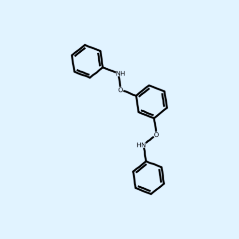 c1ccc(NOc2cccc(ONc3ccccc3)c2)cc1